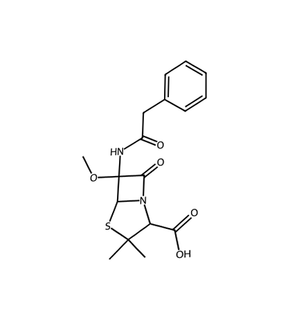 COC1(NC(=O)Cc2ccccc2)C(=O)N2C(C(=O)O)C(C)(C)SC21